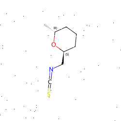 C[C@@H]1CCC[C@@H](CN=C=S)O1